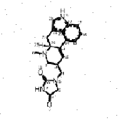 CN1CC(CN2CC(=O)NC2=O)C=C2c3cccc4[nH]cc(c34)C[C@H]21